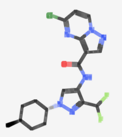 C[C@H]1CC[C@H](n2cc(NC(=O)c3cnn4ccc(Cl)nc34)c(C(F)F)n2)CC1